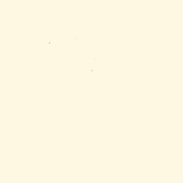 CC(=O)C1=C(O)C(C(C)C)[C@@]2(C)[C@H](O)[C@]3(C)C(=C(O)[C@@]2(O)C1=O)C(=O)c1c(O)cccc1/C3=C\c1ccc2ccccc2c1